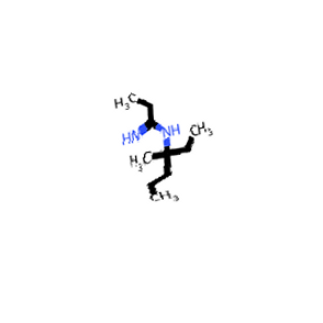 CCCC(C)(CC)NC(=N)CC